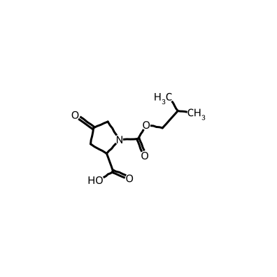 CC(C)COC(=O)N1CC(=O)CC1C(=O)O